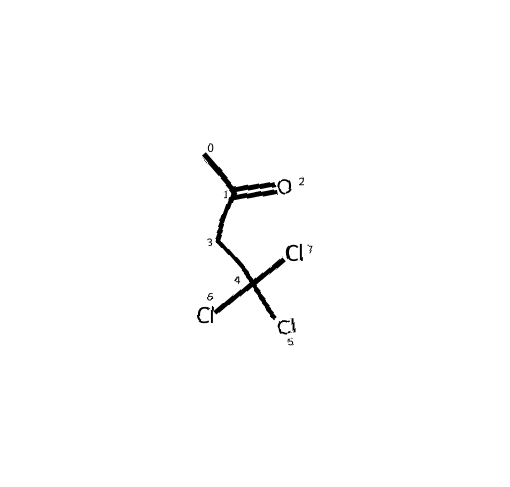 CC(=O)CC(Cl)(Cl)Cl